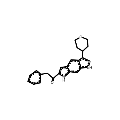 O=C(Cc1ccccc1)c1cc2cc3c(C4CCOCC4)n[nH]c3cc2[nH]1